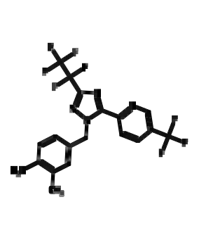 Cc1cc(Cn2nc(C(F)(F)C(F)(F)F)nc2-c2ccc(C(F)(F)F)cn2)ccc1N